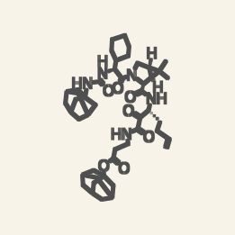 C=CCC[C@@H](NC(=O)[C@@H]1[C@@H]2[C@H](CN1C(=O)[C@@H](NC(=O)NC13CC4CC(CC(C4)C1)C3)C1CCCCC1)C2(C)C)C(=O)C(=O)NCCC(=O)OC12CC3CC(CC(C3)C1)C2